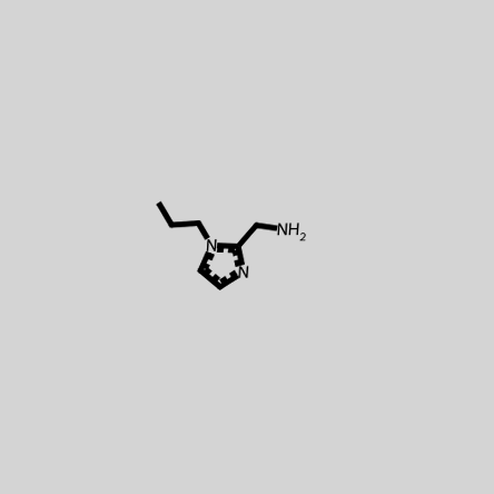 CCCn1ccnc1CN